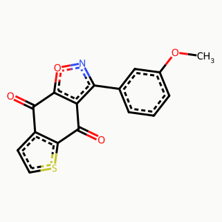 COc1cccc(-c2noc3c2C(=O)c2sccc2C3=O)c1